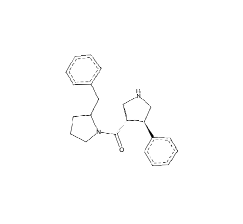 O=C([C@@H]1CNC[C@H]1c1ccccc1)N1CCCC1Cc1ccccc1